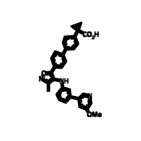 COc1cncc(-c2cccc(Nc3c(C)noc3-c3ccc(-c4ccc(C5(C(=O)O)CC5)cc4)cc3)c2)c1